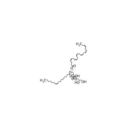 CC/C=C\C/C=C\C/C=C\C/C=C\C/C=C\C/C=C\CCC(=O)OC[C@H](COP(=O)(O)OC[C@@H](O)CO)OC(=O)CCCCCCC/C=C\CCCCCC